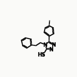 Cc1ccc(-c2nnc(S)n2CCc2ccccc2)cc1